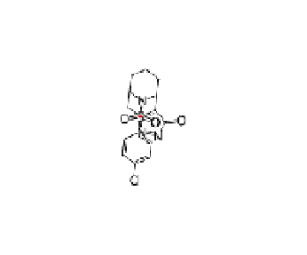 O=C1N=NC2=C1C1CCCC(C2)N1S(=O)(=O)c1ccc(Cl)cc1